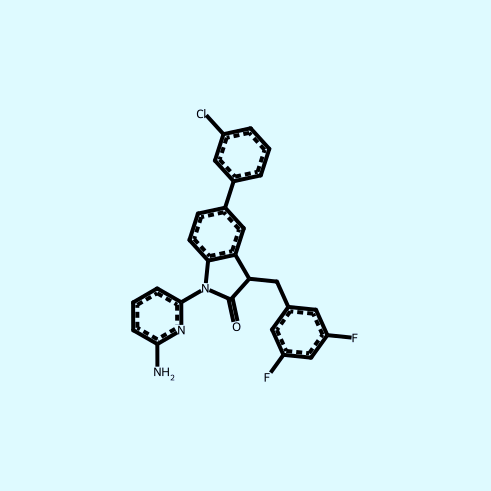 Nc1cccc(N2C(=O)C(Cc3cc(F)cc(F)c3)c3cc(-c4cccc(Cl)c4)ccc32)n1